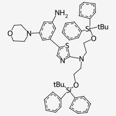 CC(C)(C)[Si](OCCN(CCO[Si](c1ccccc1)(c1ccccc1)C(C)(C)C)c1ncc(-c2cc(N)cc(N3CCOCC3)c2)s1)(c1ccccc1)c1ccccc1